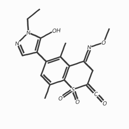 CCn1ncc(-c2cc(C)c3c(c2C)C(=NOC)CC(=C=O)S3(=O)=O)c1O